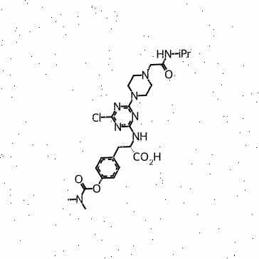 CC(C)NC(=O)CN1CCN(c2nc(Cl)nc(N[C@@H](Cc3ccc(OC(=O)N(C)C)cc3)C(=O)O)n2)CC1